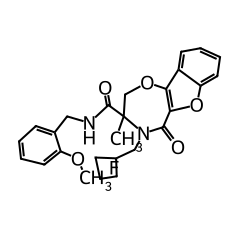 COc1ccccc1CNC(=O)C1(C)COc2c(oc3ccccc23)C(=O)N1CC1(F)CCC1